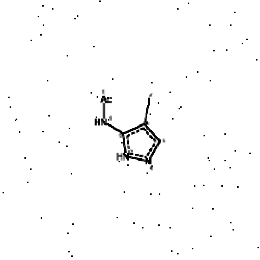 CC(=O)Nc1[nH]ncc1I